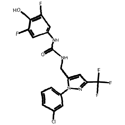 O=C(NCc1cc(C(F)(F)F)nn1-c1cccc(Cl)c1)Nc1cc(F)c(O)c(F)c1